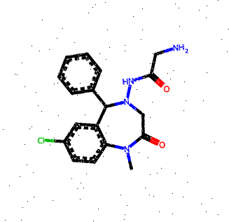 CN1C(=O)CN(NC(=O)CN)C(c2ccccc2)c2cc(Cl)ccc21